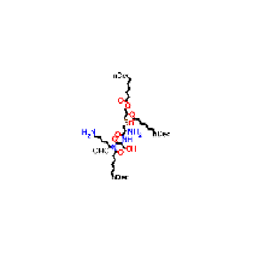 CCCCCCCCCCCCCCCC(=O)OCC(CSC[C@H](N)C(=O)N[C@@H](CO)C(=O)N(C(=O)CCCCCCCCCCCCCCC)[C@H]([C]=O)CCCCN)OC(=O)CCCCCCCCCCCCCCC